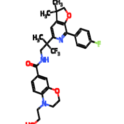 CC1(C)COc2c1cc(C(C)(CNC(=O)c1ccc3c(c1)OCCN3CCO)C(F)(F)F)nc2-c1ccc(F)cc1